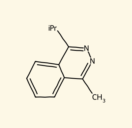 Cc1nnc(C(C)C)c2ccccc12